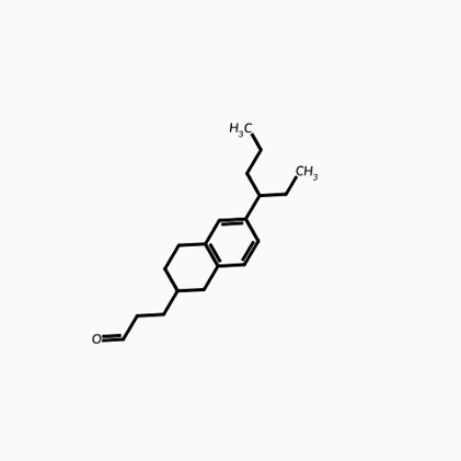 CCCC(CC)c1ccc2c(c1)CCC(CCC=O)C2